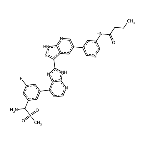 CCCC(=O)Nc1cncc(-c2cnc3[nH]nc(-c4nc5c(-c6cc(F)cc(C(N)S(C)(=O)=O)c6)ccnc5[nH]4)c3c2)c1